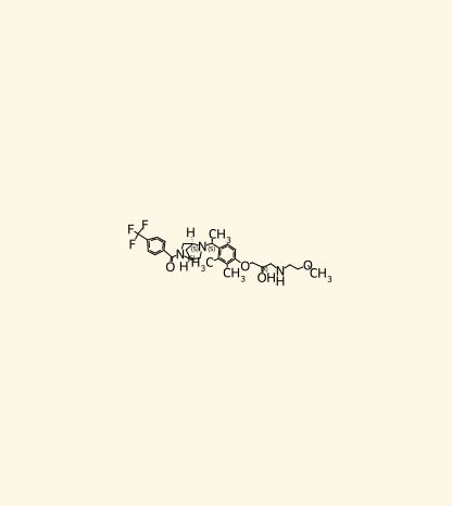 COCCNC[C@@H](O)COc1ccc([C@H](C)N2C[C@@H]3C[C@H]2CN3C(=O)c2ccc(C(F)(F)F)cc2)c(C)c1C